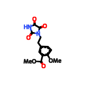 COC(=O)c1cc(CCN2C(=O)NC(=O)C2=O)ccc1OC